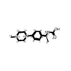 C[C@H](NC(=O)O)c1ccc(N2CCN(C)CC2)cc1